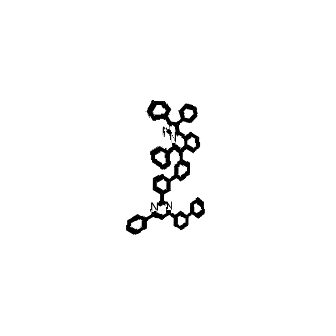 c1ccc(-c2cccc(-c3cc(-c4ccccc4)nc(-c4cccc(-c5cccc(-c6c(-c7ccccc7)n7nc(-c8ccccc8)c(-c8ccccc8)c7c7ccccc67)c5)c4)n3)c2)cc1